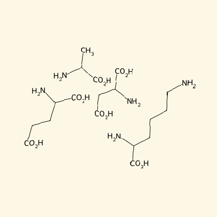 CC(N)C(=O)O.NC(CC(=O)O)C(=O)O.NC(CCC(=O)O)C(=O)O.NCCCCC(N)C(=O)O